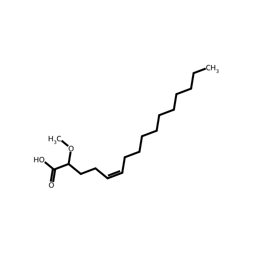 CCCCCCCCCC/C=C\CCC(OC)C(=O)O